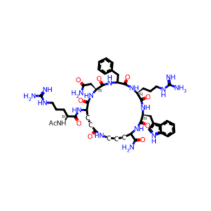 CC(=O)N[C@@H](CCCNC(=N)N)C(=O)NC1CCC(=O)NCCCC(C(N)=O)NC(=O)[C@H](Cc2c[nH]c3ccccc23)NC(=O)[C@H](CCCNC(=N)N)NC(=O)C(Cc2ccccc2)NC(=O)[C@H](CC(N)=O)NC1=O